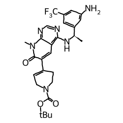 C[C@@H](Nc1ncnc2c1cc(C1=CCN(C(=O)OC(C)(C)C)CC1)c(=O)n2C)c1cc(N)cc(C(F)(F)F)c1